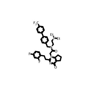 CCN(CC)CCN(Cc1ccc(-c2ccc(C(F)(F)F)cc2)cc1)C(=O)Cn1c(CCc2ccc(F)cc2F)nc(=O)c2c1CCC2